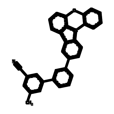 Cc1cc(C#N)cc(-c2cccc(-c3ccc4c(c3)c3cccc5c3n4-c3ccccc3O5)c2)c1